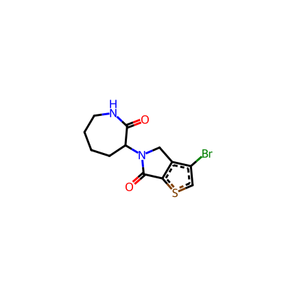 O=C1NCCCCC1N1Cc2c(Br)csc2C1=O